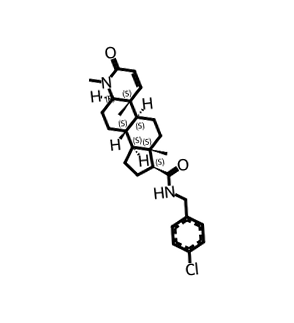 CN1C(=O)C=C[C@]2(C)[C@H]3CC[C@]4(C)[C@@H](C(=O)NCc5ccc(Cl)cc5)CC[C@H]4[C@@H]3CC[C@@H]12